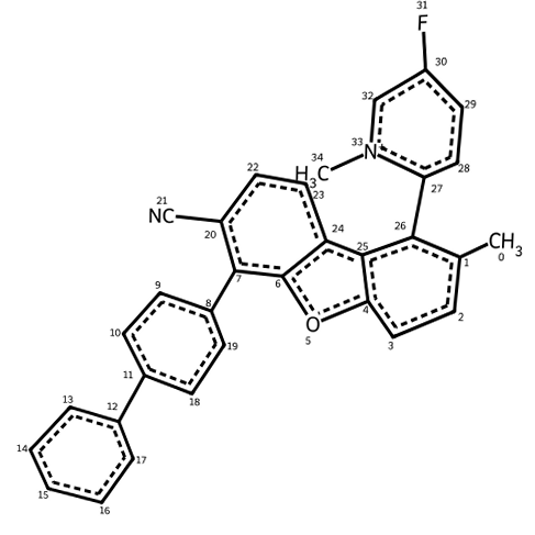 Cc1ccc2oc3c(-c4ccc(-c5ccccc5)cc4)c(C#N)ccc3c2c1-c1ccc(F)c[n+]1C